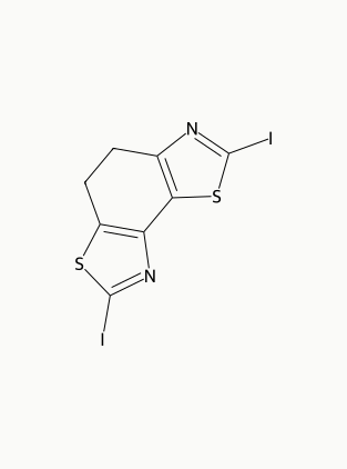 Ic1nc2c(s1)CCc1nc(I)sc1-2